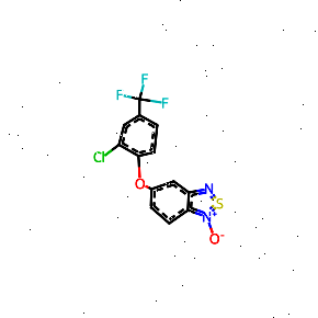 [O-][n+]1snc2cc(Oc3ccc(C(F)(F)F)cc3Cl)ccc21